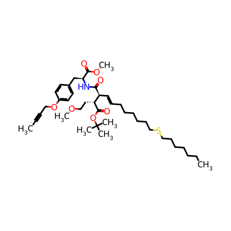 CC#CCOc1ccc(C[C@H](NC(=O)[C@@H](/C=C/CCCCCCSCCCCCCC)[C@@H](CCOC)C(=O)OC(C)(C)C)C(=O)OC)cc1